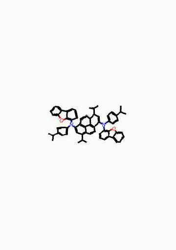 CC(C)c1ccc(N(C2=CC(C(C)C)C3C=Cc4c(N(c5ccc(C(C)C)cc5)c5cccc6c5oc5ccccc56)cc(C(C)C)c5ccc2c3c45)c2cccc3c2oc2ccccc23)cc1